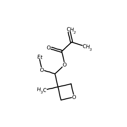 C=C(C)C(=O)OC(OCC)C1(C)COC1